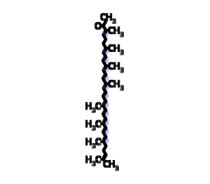 CCC(=O)/C(C)=C/CC/C(C)=C/C=C/C(C)=C/C=C/C(C)=C/C=C/C=C(C)/C=C/C=C(C)/C=C/C=C(\C)CCC=C(C)C